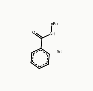 CCCCNC(=O)c1ccccc1.[Sn]